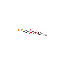 CCC(C)Cc1ccc(OC(=O)c2ccc(OC(=O)c3ccc(CP)cc3)c(C)c2)cc1